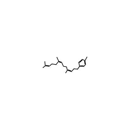 CC(C)=CCCC(C)=CCCC(C)=CCCc1ccc(C)cc1